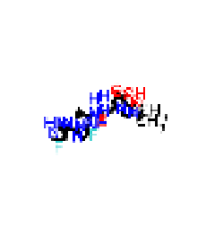 CC(C)N1CCn2c(CNC(=O)NC(Nc3nc(-c4n[nH]c5ncc(F)cc45)ncc3F)C3CC3)cc(=O)c(O)c2C1=O